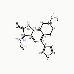 CN1CCc2c(-c3ccoc3)cc3c(c2C1)NC(=O)/C3=N/O